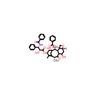 CC(=O)O[C@H]1C(=O)[C@]2(C)C(O)C[C@H]3OC[C@@]3(OC(C)=O)C2[C@H](OC(=O)c2ccccc2)[C@@]2(O)CC1=C(C)[C@@H](OC(=O)[C@H](O)[C@@H](NC(=O)c1ccccc1)c1ccccc1)C2